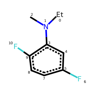 CCN(C)c1cc(F)ccc1F